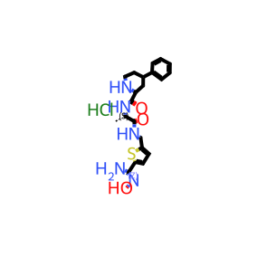 C[C@H](NC(=O)C1CC(c2ccccc2)CCN1)C(=O)NCc1ccc(/C(N)=N/O)s1.Cl